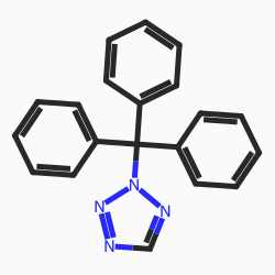 c1ccc(C(c2ccccc2)(c2ccccc2)n2ncnn2)cc1